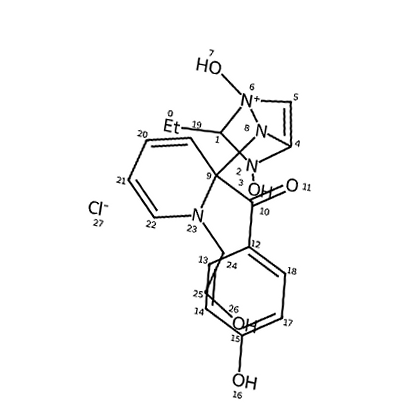 CCC1N(O)C2=C[N+]1(O)N2C1(C(=O)c2ccc(O)cc2)C=CC=CN1CCO.[Cl-]